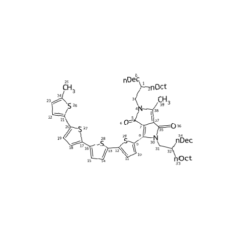 CCCCCCCCCCC(CCCCCCCC)CN1C(=O)C2=C(c3ccc(-c4ccc(-c5ccc(-c6ccc(C)s6)s5)s4)s3)N(CC(CCCCCCCC)CCCCCCCCCC)C(=O)C2=C1C